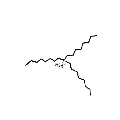 CCCCCCCC[PH]([SeH])(CCCCCCCC)CCCCCCCC